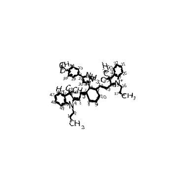 CCCN1/C(=C/C=C2\CCCC(/C=C/C3=[N+](CCC)c4ccccc4C3(C)C)=C2n2cc(-c3ccc(OC)cc3)nn2)C(C)(C)c2ccccc21